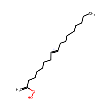 C=C(CCCCCC/C=C/CCCCCCCC)OO